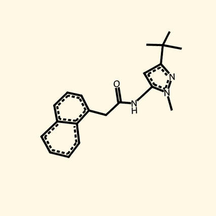 Cn1nc(C(C)(C)C)cc1NC(=O)Cc1cccc2ccccc12